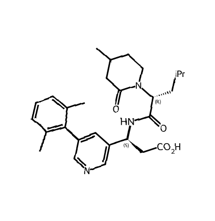 Cc1cccc(C)c1-c1cncc([C@H](CC(=O)O)NC(=O)[C@@H](CC(C)C)N2CCC(C)CC2=O)c1